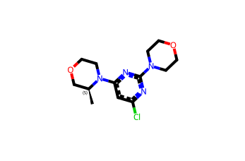 C[C@H]1COCCN1c1cc(Cl)nc(N2CCOCC2)n1